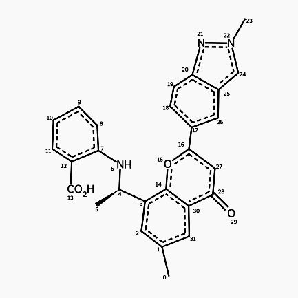 Cc1cc([C@@H](C)Nc2ccccc2C(=O)O)c2oc(-c3ccc4nn(C)cc4c3)cc(=O)c2c1